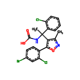 [CH2]C(NC(=O)O)(c1ccccc1Cl)c1c(C)noc1-c1ccc(Br)cc1Cl